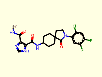 CC(C)NC(=O)c1nc[nH]c1C(=O)NC1CCC2(CC1)CCN(c1cc(F)c(F)cc1Cl)C2=O